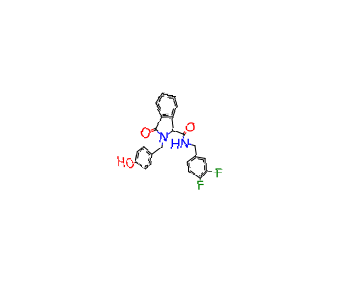 O=C(NCc1ccc(F)c(F)c1)C1c2ccccc2C(=O)N1Cc1ccc(O)cc1